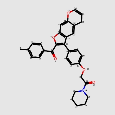 Cc1ccc(C(=O)c2oc3cc4c(cc3c2-c2ccc(OCC(=O)N3CCCCC3)cc2)CC=CO4)cc1